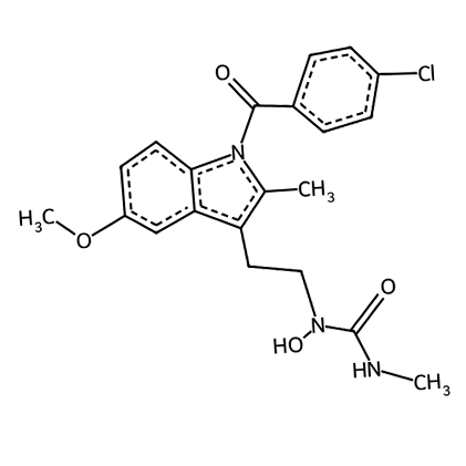 CNC(=O)N(O)CCc1c(C)n(C(=O)c2ccc(Cl)cc2)c2ccc(OC)cc12